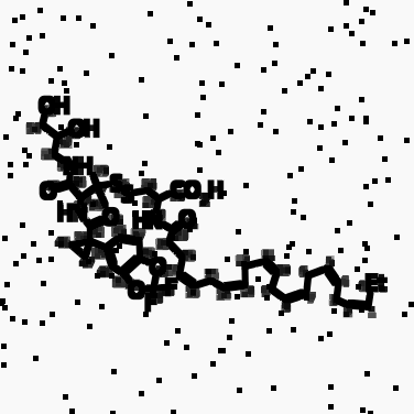 CC/C=C\C/C=C\C/C=C\C/C=C\C/C=C\C/C=C\CCC(=O)NC(CSSC(C)(C)C(NC(=O)C1(c2ccc3c(c2)OC(F)(F)O3)CC1)C(=O)NCC(O)CO)C(=O)O